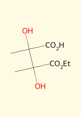 CCOC(=O)C(C)(O)C(C)(O)C(=O)O